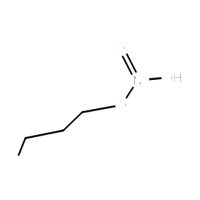 CCCCO[N+](=O)O